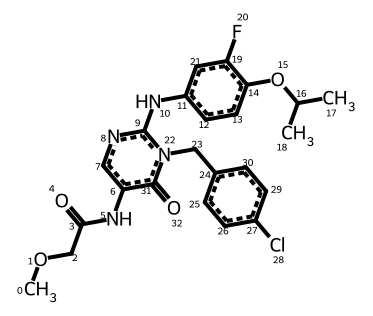 COCC(=O)Nc1cnc(Nc2ccc(OC(C)C)c(F)c2)n(Cc2ccc(Cl)cc2)c1=O